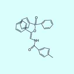 Cc1ccc(C(=O)NC=C(OP(=O)(c2ccccc2)c2ccccc2)c2ccccc2)cc1